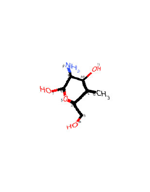 CC1C(CO)OC(O)C(N)C1O